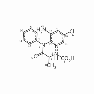 CC(NC(=O)O)C(=O)N(c1ccccc1)c1ncc(Cl)cc1N